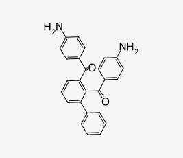 Nc1ccc(C(=O)c2cccc(-c3ccccc3)c2C(=O)c2ccc(N)cc2)cc1